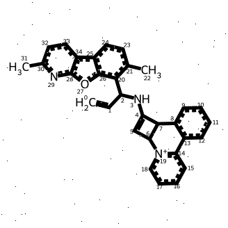 C=CC(NC1=CC2C1c1ccccc1-c1cccc[n+]12)c1c(C)ccc2c1oc1nc(C)ccc12